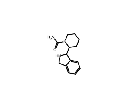 NC(=O)N1CCCCC1C1NCc2ccccc21